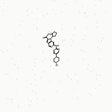 CCCC(C)C(=O)c1cc2cnc(Nc3ncc(C4CCN(CC)CC4)cn3)cc2n1C1CCCC1